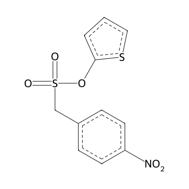 O=[N+]([O-])c1ccc(CS(=O)(=O)Oc2cccs2)cc1